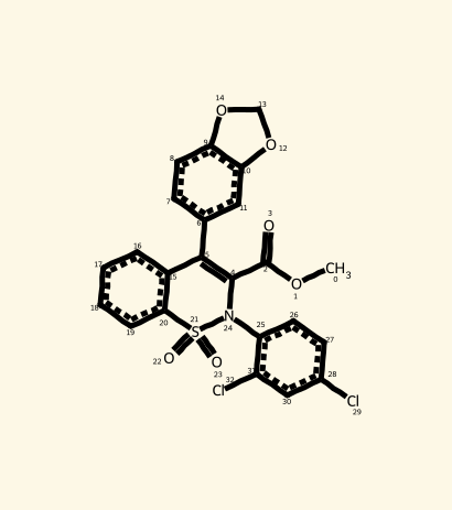 COC(=O)C1=C(c2ccc3c(c2)OCO3)c2ccccc2S(=O)(=O)N1c1ccc(Cl)cc1Cl